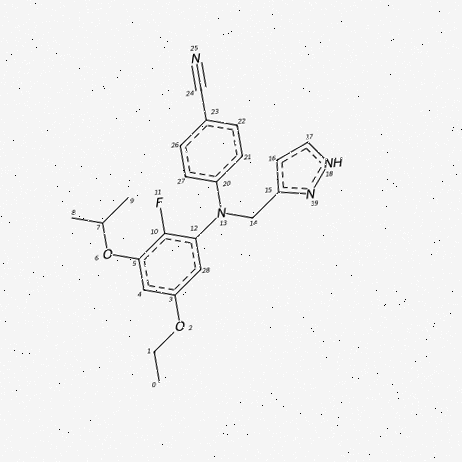 CCOc1cc(OC(C)C)c(F)c(N(Cc2cc[nH]n2)c2ccc(C#N)cc2)c1